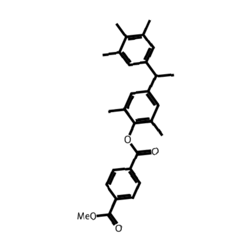 COC(=O)c1ccc(C(=O)Oc2c(C)cc(C(C)c3cc(C)c(C)c(C)c3)cc2C)cc1